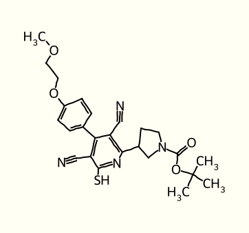 COCCOc1ccc(-c2c(C#N)c(S)nc(C3CCN(C(=O)OC(C)(C)C)C3)c2C#N)cc1